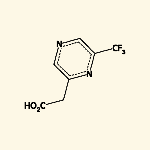 O=C(O)Cc1cncc(C(F)(F)F)n1